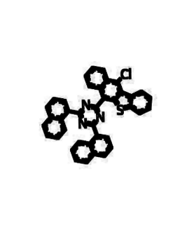 Clc1c2ccccc2c(-c2nc(-c3cccc4ccccc34)nc(-c3cccc4ccccc34)n2)c2sc3ccccc3c12